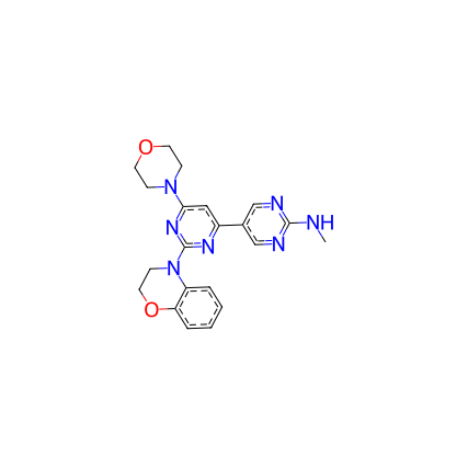 CNc1ncc(-c2cc(N3CCOCC3)nc(N3CCOc4ccccc43)n2)cn1